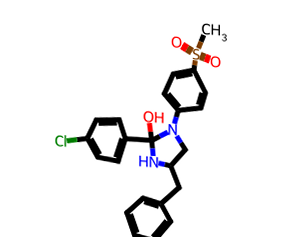 CS(=O)(=O)c1ccc(N2CC(Cc3ccccc3)NC2(O)c2ccc(Cl)cc2)cc1